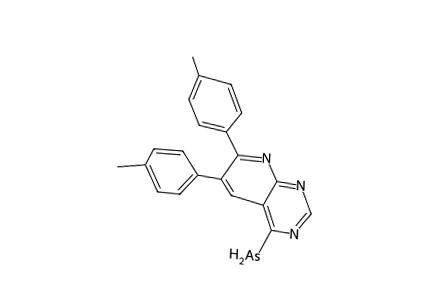 Cc1ccc(-c2cc3c([AsH2])ncnc3nc2-c2ccc(C)cc2)cc1